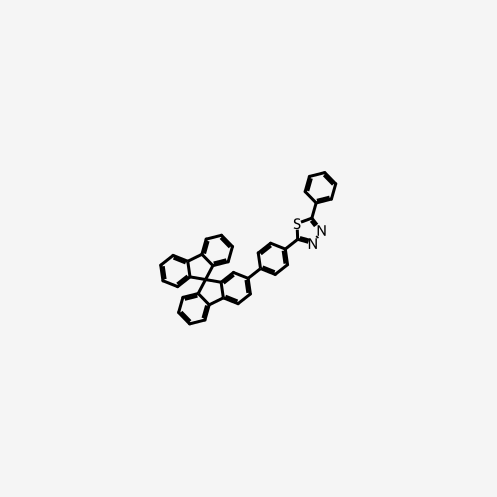 c1ccc(-c2nnc(-c3ccc(-c4ccc5c(c4)C4(c6ccccc6-c6ccccc64)c4ccccc4-5)cc3)s2)cc1